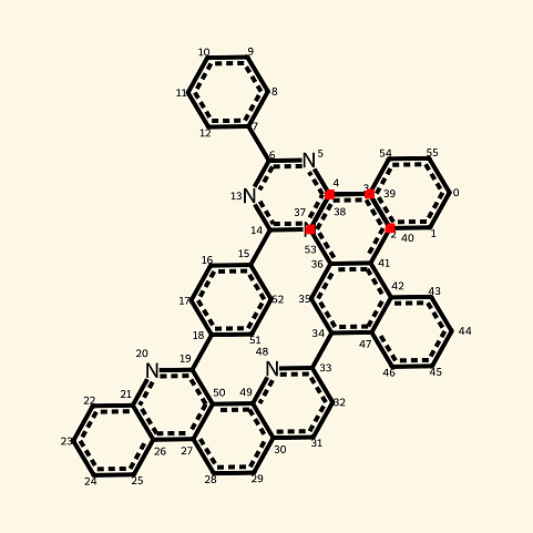 c1ccc(-c2nc(-c3ccccc3)nc(-c3ccc(-c4nc5ccccc5c5ccc6ccc(-c7cc8ccccc8c8ccccc78)nc6c45)cc3)n2)cc1